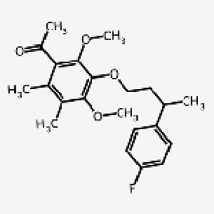 COc1c(C)c(C)c(C(C)=O)c(OC)c1OCCC(C)c1ccc(F)cc1